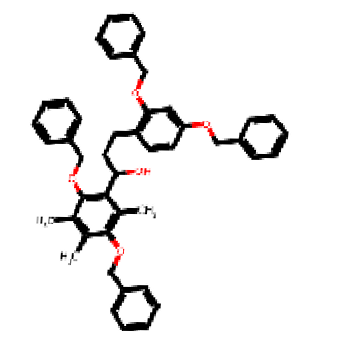 Cc1c(C)c(OCc2ccccc2)c(C(O)CCc2ccc(OCc3ccccc3)cc2OCc2ccccc2)c(C)c1OCc1ccccc1